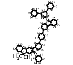 CC1(C)c2cc3c(cc2C2C=CC=CC21)c1cc(-c2ccc(-c4ccc5c(c4)c4ccccc4n5-c4nc(-c5ccccc5)nc(-c5ccccc5)n4)cc2)ccc1n3-c1ccccc1